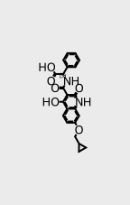 O=C(N[C@H](C(=O)O)c1ccccc1)c1c(O)c2ccc(OCC3CC3)cc2[nH]c1=O